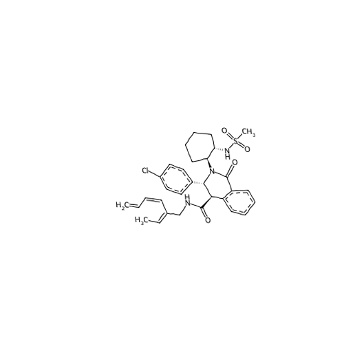 C=C/C=C\C(=C/C)CNC(=O)[C@@H]1c2ccccc2C(=O)N([C@H]2CCCC[C@@H]2NS(C)(=O)=O)[C@H]1c1ccc(Cl)cc1